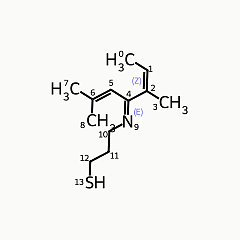 C/C=C(C)\C(C=C(C)C)=N\CCCS